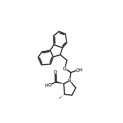 C[C@H]1CCN(C(O)OCC2c3ccccc3-c3ccccc32)[C@@H]1C(=O)O